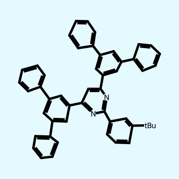 CC(C)(C)c1cccc(-c2nc(-c3cc(-c4ccccc4)cc(-c4ccccc4)c3)cc(-c3cc(-c4ccccc4)cc(-c4ccccc4)c3)n2)c1